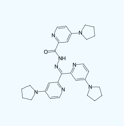 O=C(NN=C(c1cc(N2CCCC2)ccn1)c1cc(N2CCCC2)ccn1)c1cc(N2CCCC2)ccn1